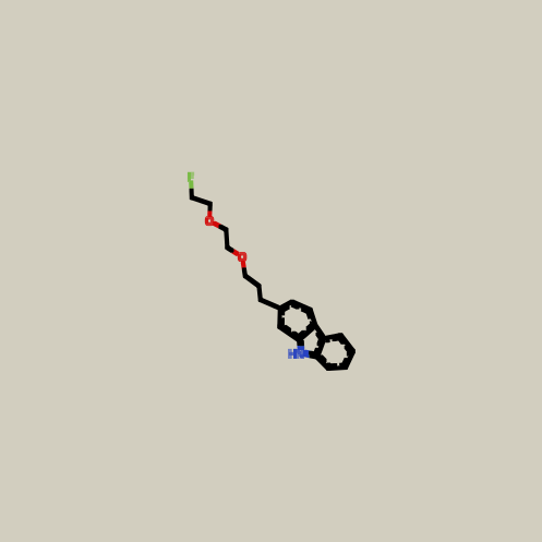 FCCOCCOCCCc1ccc2c(c1)[nH]c1ccccc12